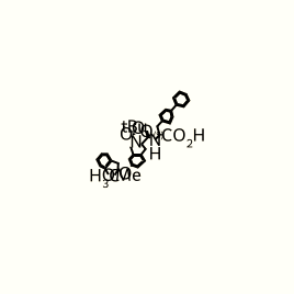 COc1ccccc1CC(C)Oc1ccc2c(c1)CN(C(=O)OC(C)(C)C)C(C(=O)N[C@@H](Cc1ccc(-c3ccccc3)cc1)C(=O)O)C2